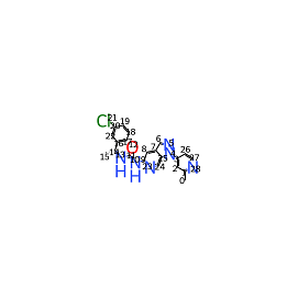 Cc1cc(-n2ncc3cc(NC(=O)N[C@H](C)c4cccc(Cl)c4)ncc32)ccn1